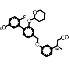 COc1ccc(F)c(-c2ccc(COc3cccc([C@H](C)CC(=O)O)c3)cc2OC2CCCCO2)c1